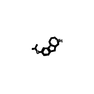 CC(C)Oc1ccc2c(c1)N1CCCNCC1C2